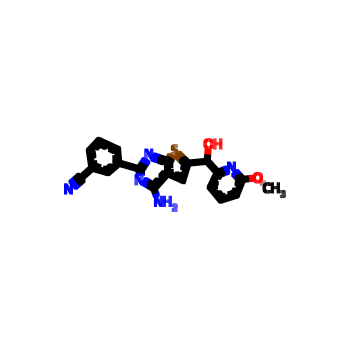 COc1cccc(C(O)c2cc3c(N)nc(-c4cccc(C#N)c4)nc3s2)n1